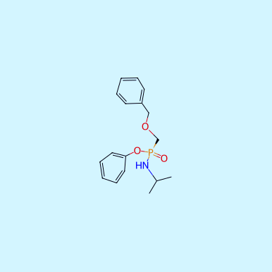 CC(C)N[P@](=O)(COCc1ccccc1)Oc1ccccc1